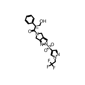 O=C([C@H](CO)c1ccccc1)N1Cc2cn(S(=O)(=O)c3cnn(CC(F)(F)F)c3)nc2C1